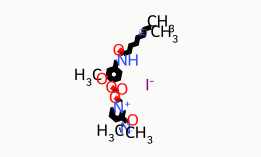 COc1cc(CNC(=O)CCCC/C=C/C(C)C)ccc1OC(=O)OC[n+]1cccc(C(=O)N(C)C)c1.[I-]